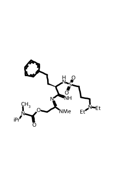 CCN(CC)CCCS(=O)(=O)N[C@H](CCc1ccccc1)C(=N)/N=C(/COC(=O)N(C)C(C)C)NC